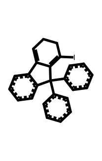 IC1=C2C(=CCC1)c1ccccc1C2(c1ccccc1)c1ccccc1